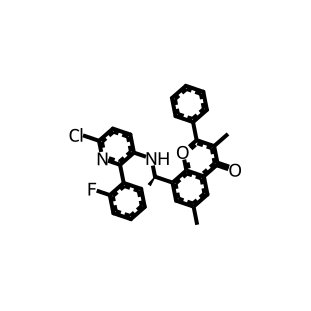 Cc1cc([C@@H](C)Nc2ccc(Cl)nc2-c2ccccc2F)c2oc(-c3ccccc3)c(C)c(=O)c2c1